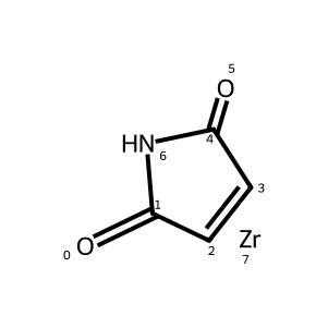 O=C1C=CC(=O)N1.[Zr]